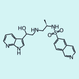 C[C@H](CNCC(O)c1c[nH]c2ncccc12)NS(=O)(=O)c1ccc2cnccc2c1